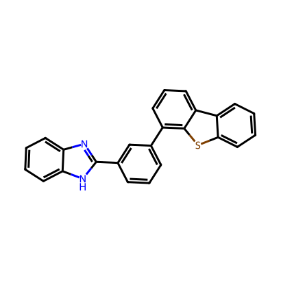 c1cc(-c2nc3ccccc3[nH]2)cc(-c2cccc3c2sc2ccccc23)c1